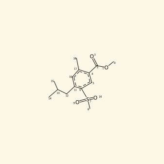 COC(=O)c1cc(S(C)(=O)=O)c(CC(C)C)cc1C